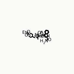 CCS(=O)(=O)N1CCC(Cn2nc(C(F)(F)F)c(NC(=O)c3cc(C(N)=O)nc4ccccc34)c2C)CC1